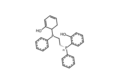 OC1=CC=CCC1P(CC[P@@](c1ccccc1)c1ccccc1O)c1ccccc1